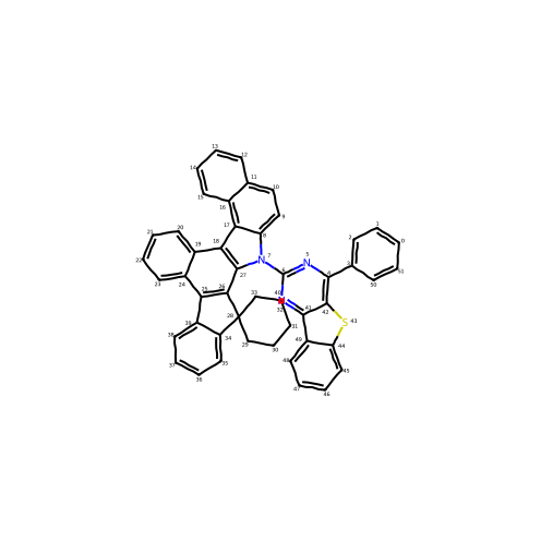 c1ccc(-c2nc(-n3c4ccc5ccccc5c4c4c5ccccc5c5c(c43)C3(CCCCC3)c3ccccc3-5)nc3c2sc2ccccc23)cc1